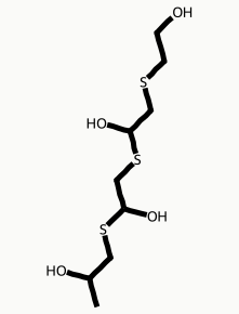 CC(O)CSC(O)CSC(O)CSCCO